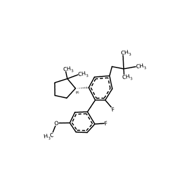 COc1ccc(F)c(-c2c(F)cc(CC(C)(C)C)cc2[C@@H]2CCCC2(C)C)c1